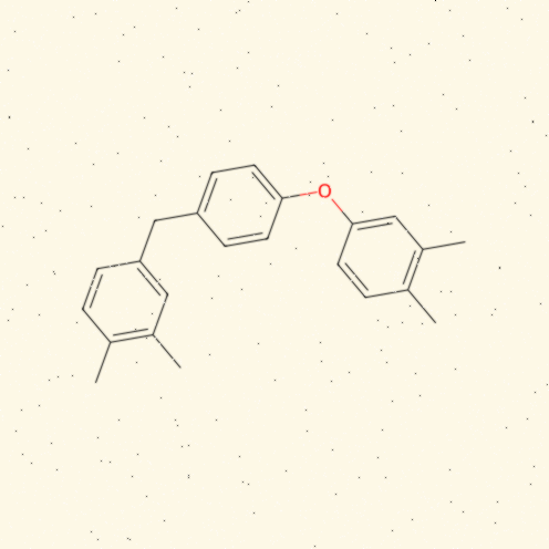 Cc1ccc(Cc2ccc(Oc3ccc(C)c(C)c3)cc2)cc1C